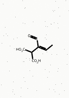 C/C=C(\I=O)C(C(=O)O)C(=O)O